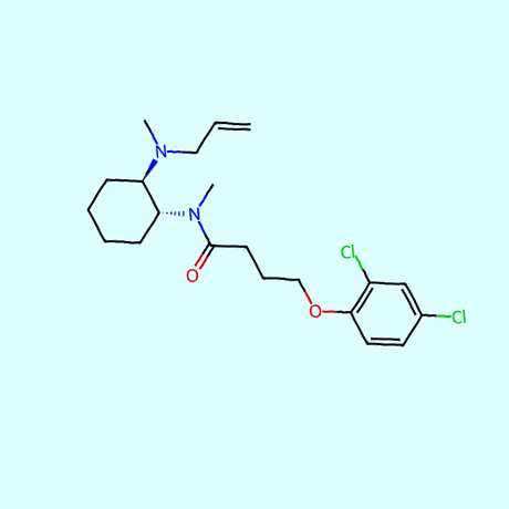 C=CCN(C)[C@@H]1CCCC[C@H]1N(C)C(=O)CCCOc1ccc(Cl)cc1Cl